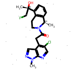 C[C@H]1c2cccc([C@@](C)(O)CF)c2CCN1C(=O)Cc1c(Cl)cnc2c1cnn2C